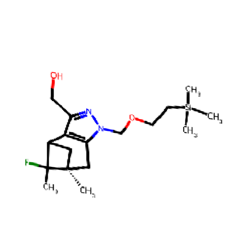 CC1(F)C2C[C@@]1(C)Cc1c2c(CO)nn1COCC[Si](C)(C)C